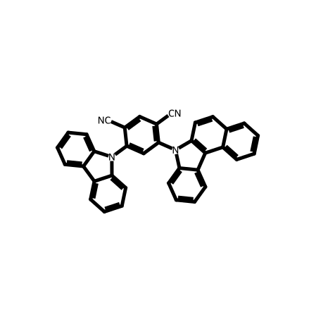 N#Cc1cc(C#N)c(-n2c3ccccc3c3c4ccccc4ccc32)cc1-n1c2ccccc2c2ccccc21